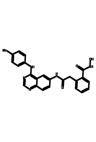 CC(C)(C)c1ccc(Nc2ncnc3ccc(NC(=O)Cc4ccccc4C(=O)NO)cc23)cc1